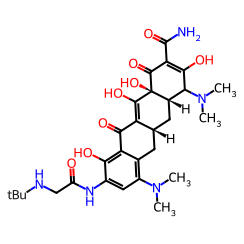 CN(C)c1cc(NC(=O)CNC(C)(C)C)c(O)c2c1C[C@H]1C[C@H]3C(N(C)C)C(O)=C(C(N)=O)C(=O)[C@@]3(O)C(O)=C1C2=O